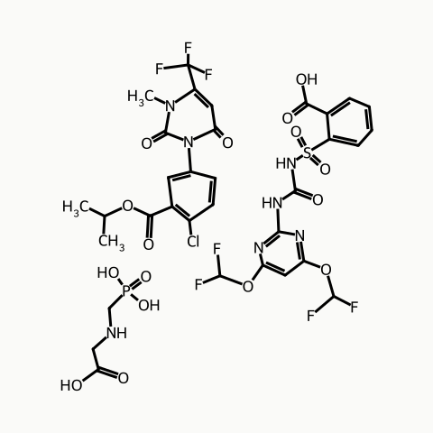 CC(C)OC(=O)c1cc(-n2c(=O)cc(C(F)(F)F)n(C)c2=O)ccc1Cl.O=C(Nc1nc(OC(F)F)cc(OC(F)F)n1)NS(=O)(=O)c1ccccc1C(=O)O.O=C(O)CNCP(=O)(O)O